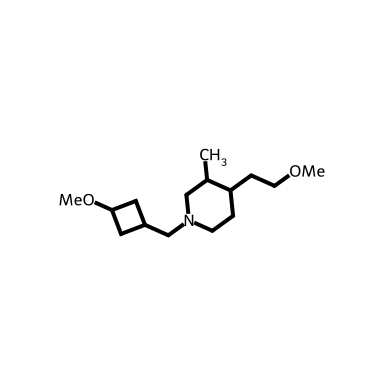 COCCC1CCN(CC2CC(OC)C2)CC1C